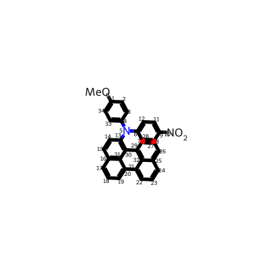 COc1ccc(N(c2ccc([N+](=O)[O-])cc2)c2ccc3cccc4c5cccc6cccc(c2c34)c65)cc1